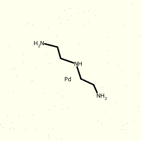 NCCNCCN.[Pd]